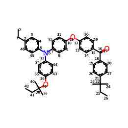 CCc1ccc(N(c2ccc(Oc3ccc(C(=O)c4ccc(C(C)(C)CC)cc4)cc3)cc2)c2ccc(OC(C)(C)CC)cc2)cc1